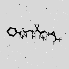 O=C(NCc1nnc(-c2ccccc2)s1)c1cn(C2CC2C(F)F)nn1